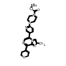 Cc1cn2c(-c3ccc(N4CCN(C(=O)OC(C)(C)C)CC4)nc3)cnc(C3CCOCC3)c2n1